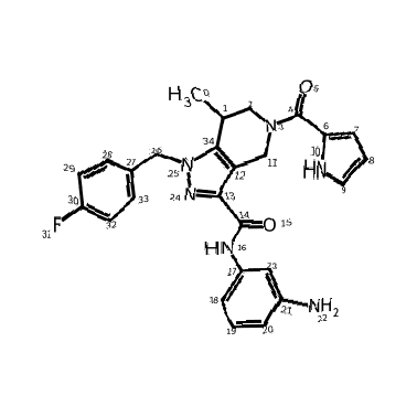 CC1CN(C(=O)c2ccc[nH]2)Cc2c(C(=O)Nc3cccc(N)c3)nn(Cc3ccc(F)cc3)c21